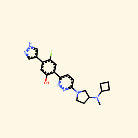 CN(C1CCC1)[C@H]1CCN(c2ccc(-c3cc(F)c(-c4cn[nH]c4)cc3O)nn2)C1